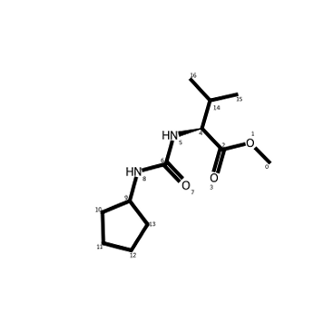 COC(=O)[C@@H](NC(=O)NC1CCCC1)C(C)C